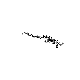 CC[C@H](C)[C@@H]([C@@H](CC(=O)N1CCC[C@H]1[C@H](OC)[C@@H](C)C(=O)N[C@@H](Cc1ccccc1)C(=O)O)OC)N(C)C(=O)[C@@H](NC(=O)C(C)(C)N(C)C(=O)CCOCCOCCOCCOCCOCCOCCN)C(C)C